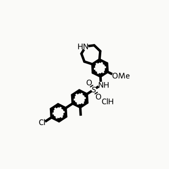 COc1cc2c(cc1NS(=O)(=O)c1ccc(-c3ccc(Cl)cc3)c(C)c1)CCNCC2.Cl